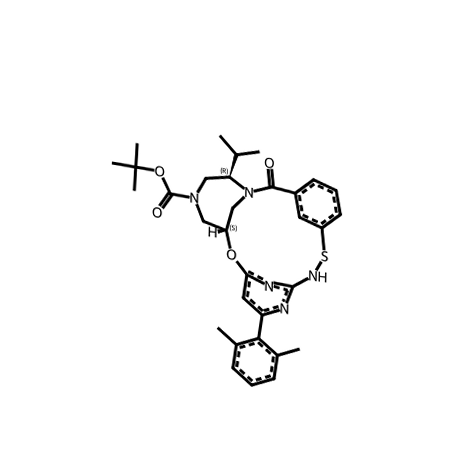 Cc1cccc(C)c1-c1cc2nc(n1)NSc1cccc(c1)C(=O)N1C[C@@H](CN(C(=O)OC(C)(C)C)C[C@H]1C(C)C)O2